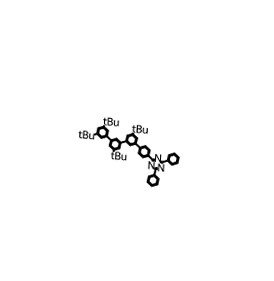 CC(C)(C)c1cc(-c2ccc(-c3nc(-c4ccccc4)nc(-c4ccccc4)n3)cc2)cc(-c2cc(-c3cc(C(C)(C)C)cc(C(C)(C)C)c3)cc(C(C)(C)C)c2)c1